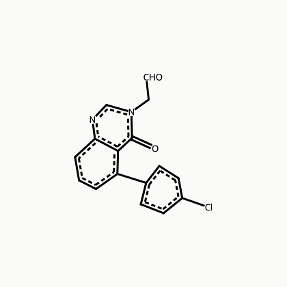 O=CCn1cnc2cccc(-c3ccc(Cl)cc3)c2c1=O